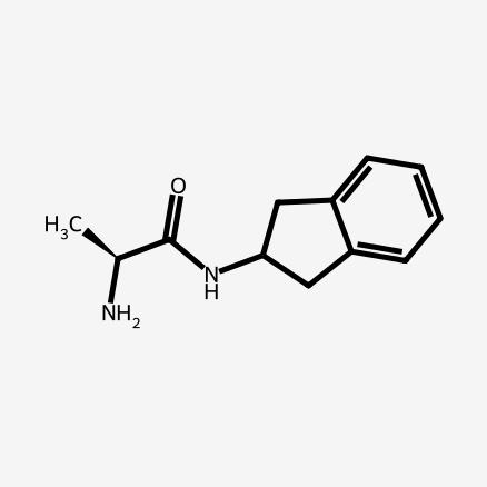 C[C@H](N)C(=O)NC1Cc2ccccc2C1